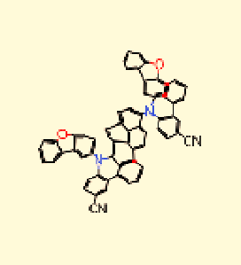 N#Cc1ccc(N(c2ccc3oc4ccccc4c3c2)c2ccc3ccc4c(N(c5ccc6oc7ccccc7c6c5)c5ccc(C#N)cc5-c5ccccc5)ccc5ccc2c3c54)c(-c2ccccc2)c1